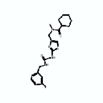 CN(Cc1csc(NC(=O)NCc2cccc(F)c2)n1)C(=O)C1CCCCC1